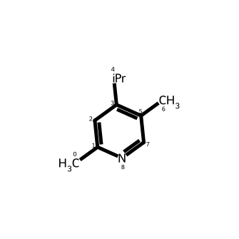 Cc1cc(C(C)C)c(C)cn1